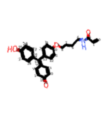 C=CC(=O)NCCCCOc1ccc(C(=C2C=CC(=O)C=C2)c2ccc(O)cc2)cc1